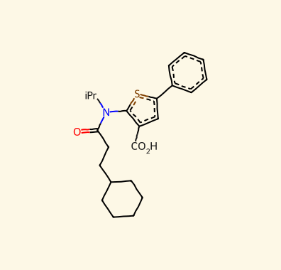 CC(C)N(C(=O)CCC1CCCCC1)c1sc(-c2ccccc2)cc1C(=O)O